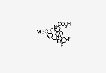 CC[C@H](Cc1ccc(OC)c(C(F)(F)F)c1)N(Cc1ccc(C(=O)O)nc1)C(=O)c1cc(F)cc(F)c1